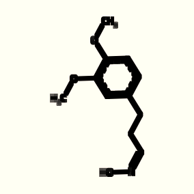 COc1ccc(CC/C=N\O)cc1OC